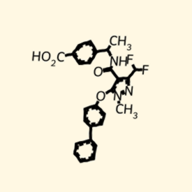 CC(NC(=O)c1c(C(F)F)nn(C)c1Oc1ccc(-c2ccccc2)cc1)c1ccc(C(=O)O)cc1